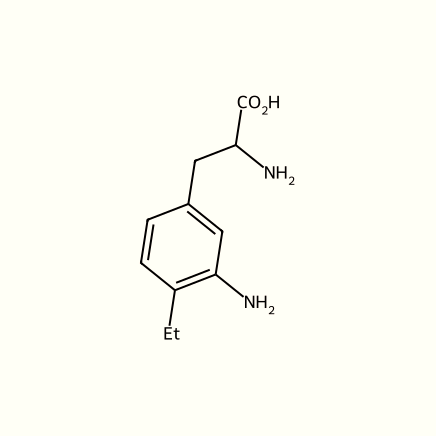 CCc1ccc(CC(N)C(=O)O)cc1N